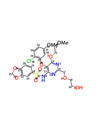 COCCOc1nc(COCCO)nc(NS(=O)(=O)c2ccc3c(c2)OCO3)c1Oc1cc(OC)ccc1Cl